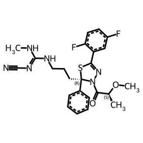 CNC(=NC#N)NCCC[C@]1(c2ccccc2)SC(c2cc(F)ccc2F)=NN1C(=O)[C@H](C)OC